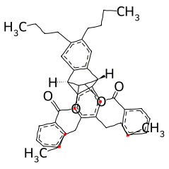 CCCCc1cc2c(cc1CCCC)[C@H]1c3cc(CCCC)c(CCCC)cc3[C@H]2C(OC(=O)c2ccccc2)C1OC(=O)c1ccccc1